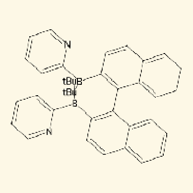 CC(C)(C)B(c1ccccn1)c1ccc2c(c1-c1c(B(c3ccccn3)C(C)(C)C)ccc3ccccc13)=CCCC=2